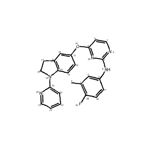 Cc1cc(Nc2nccc(Oc3ccc4c(c3)CCN4c3ccccn3)n2)ccc1F